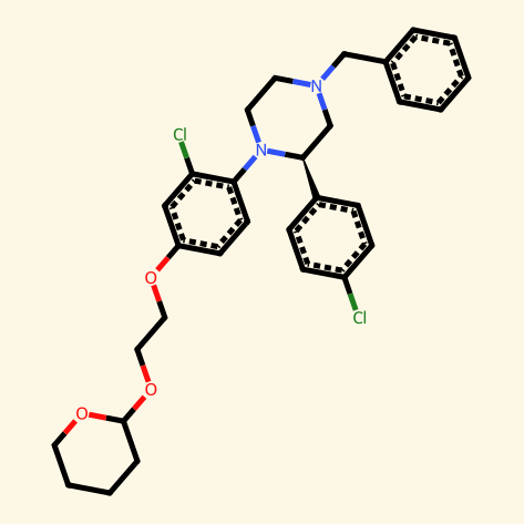 Clc1ccc([C@@H]2CN(Cc3ccccc3)CCN2c2ccc(OCCOC3CCCCO3)cc2Cl)cc1